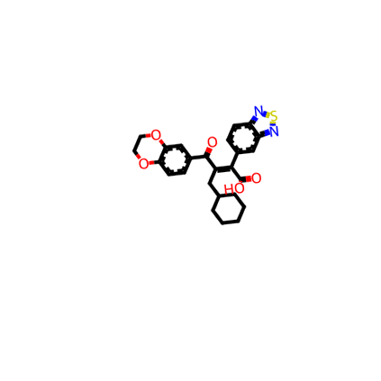 O=C(O)/C(=C(\CC1CCCCC1)C(=O)c1ccc2c(c1)OCCO2)c1ccc2nsnc2c1